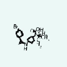 CC(C)(C)N(C(=O)O)C1CCC(NC2CC2c2ccc(Br)cc2)CC1